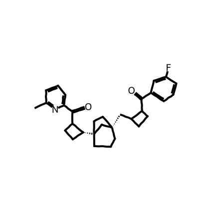 Cc1cccc(C(=O)C2CC[C@H]2C23CCC[C@](CC4CCC4C(=O)c4cccc(F)c4)(CC2)C3)n1